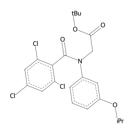 CC(C)Oc1cccc(N(CC(=O)OC(C)(C)C)C(=O)c2c(Cl)cc(Cl)cc2Cl)c1